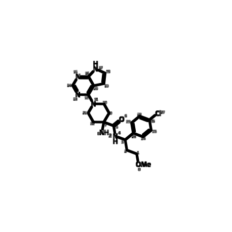 COCCC(NC(=O)C1(N)CCN(c2ncnc3[nH]ccc23)CC1)c1ccc(Cl)cc1